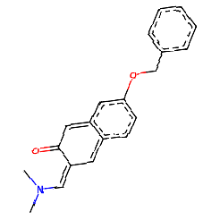 CN(C)C=C1C=c2ccc(OCc3ccccc3)cc2=CC1=O